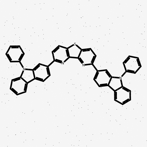 c1ccc(-n2c3ccccc3c3ccc(-c4ccc5sc6ccc(-c7ccc8c9ccccc9n(-c9ccccc9)c8c7)nc6c5n4)cc32)cc1